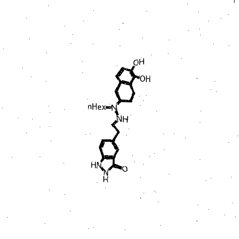 CCCCCCN(NCCc1ccc2[nH][nH]c(=O)c2c1)C1CCc2c(ccc(O)c2O)C1